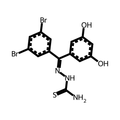 NC(=S)N/N=C(\c1cc(O)cc(O)c1)c1cc(Br)cc(Br)c1